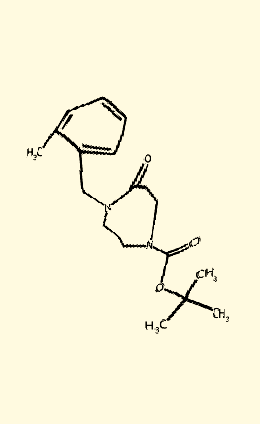 Cc1ccccc1CN1CCN(C(=O)OC(C)(C)C)CC1=O